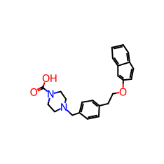 O=C(O)N1CCN(Cc2ccc(CCOc3ccc4ccccc4c3)cc2)CC1